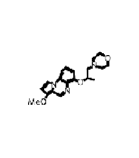 COc1ccn2c1cnc1c(OC(C)CN3CCOCC3)cccc12